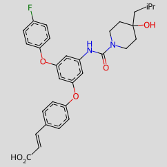 CC(C)CC1(O)CCN(C(=O)Nc2cc(Oc3ccc(F)cc3)cc(Oc3ccc(/C=C/C(=O)O)cc3)c2)CC1